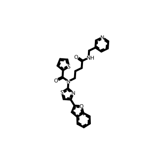 O=C(CCCN(C(=O)c1cccs1)c1nc(-c2cc3ccccc3o2)cs1)NCc1cccnc1